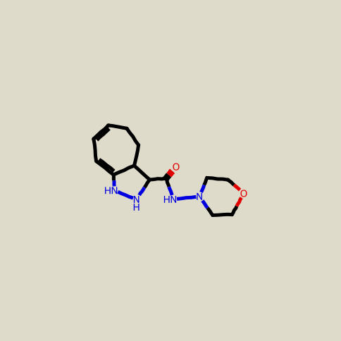 O=C(NN1CCOCC1)C1NNC2=CC=CCCC21